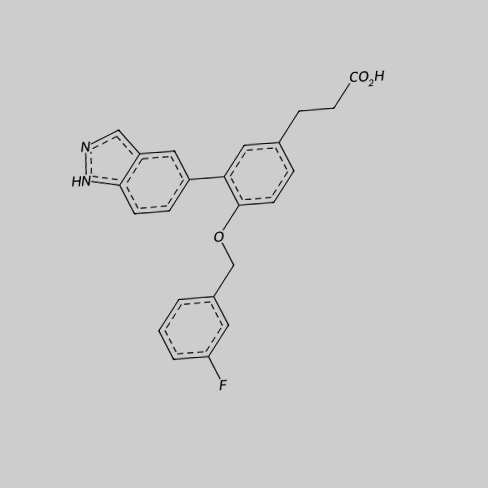 O=C(O)CCc1ccc(OCc2cccc(F)c2)c(-c2ccc3[nH]ncc3c2)c1